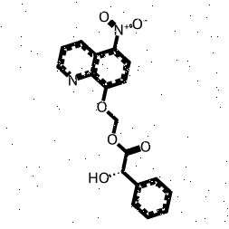 O=C(OCOc1ccc([N+](=O)[O-])c2cccnc12)[C@@H](O)c1ccccc1